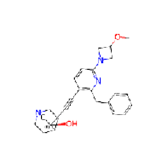 COC1CN(c2ccc(C#C[C@@]3(O)CN4CCC3CC4)c(Cc3ccccc3)n2)C1